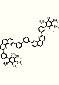 Bc1c(B)c(B)c(-c2cccc(-c3ccc4ccc5ccc(-c6cccc(-c7cccc(-c8ccc9ccc%10ccc(-c%11cccc(-c%12c(B)c(B)c(B)c(B)c%12B)c%11)nc%10c9n8)c7)c6)nc5c4n3)c2)c(B)c1B